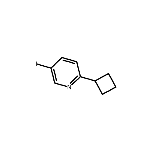 Ic1ccc(C2CCC2)nc1